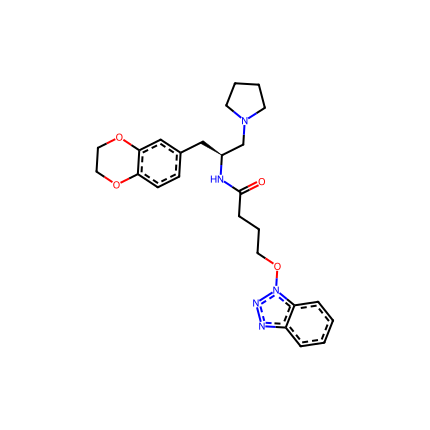 O=C(CCCOn1nnc2ccccc21)N[C@@H](Cc1ccc2c(c1)OCCO2)CN1CCCC1